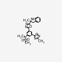 Cc1noc(-c2cc(-c3nnc([C@](C)(N)Cc4ccccc4)o3)cc(N(C)S(C)(=O)=O)c2)n1